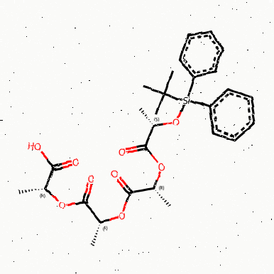 C[C@H](O[Si](c1ccccc1)(c1ccccc1)C(C)(C)C)C(=O)O[C@H](C)C(=O)O[C@H](C)C(=O)O[C@H](C)C(=O)O